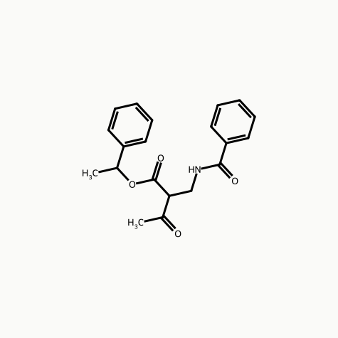 CC(=O)C(CNC(=O)c1ccccc1)C(=O)OC(C)c1ccccc1